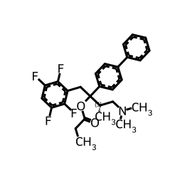 CCC(=O)OC(Cc1c(F)c(F)cc(F)c1F)(c1ccc(-c2ccccc2)cc1)[C@@H](C)CN(C)C